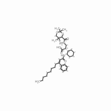 CCCCCCCCC/C(=C/C(=O)N[C@H]1CCCC[C@H]1C(CNC(=O)C1OC(C)(C)OCC1(C)C)C(=O)O)c1ccccc1